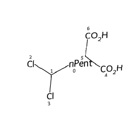 CCCCCC(Cl)Cl.O=C(O)CC(=O)O